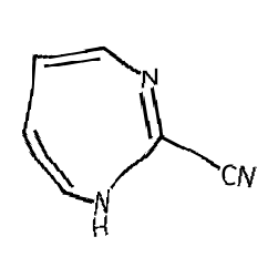 N#CC1=NC=CC=CN1